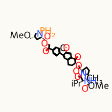 COC[C@H]1C[C@@H](C(=O)OCC(=O)c2ccc3c(c2)COc2cc4c(cc2-3)CCC(OC(=O)[C@@H]2CC[C@H](C)N2C(=O)C(NC(=O)OC)C(C)C)C4=O)N(P)C1